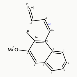 COc1cc2ccccc2c(/C=C\C=N)c1C